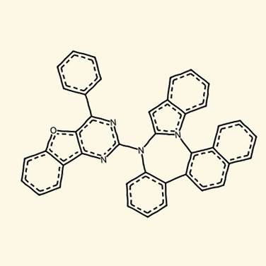 c1ccc(-c2nc(N3c4ccccc4-c4ccc5ccccc5c4-n4c3cc3ccccc34)nc3c2oc2ccccc23)cc1